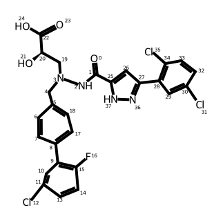 O=C(NN(Cc1ccc(-c2cc(Cl)ccc2F)cc1)C[C@@H](O)C(=O)O)c1cc(-c2cc(Cl)ccc2Cl)n[nH]1